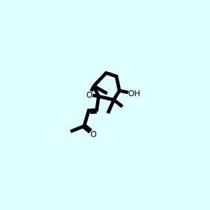 CC(=O)C=CC12OC1(C)CCC(O)C2(C)C